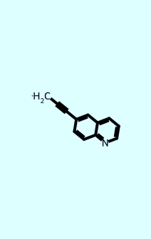 [CH2]C#Cc1ccc2ncccc2c1